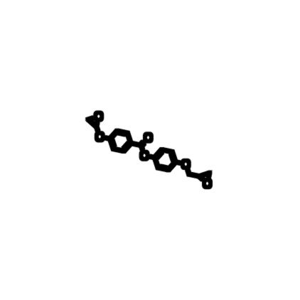 O=C(Oc1ccc(OCC2CO2)cc1)c1ccc(OC2CO2)cc1